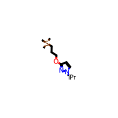 CC(C)n1ccc(OCCCS(C)(C)C)n1